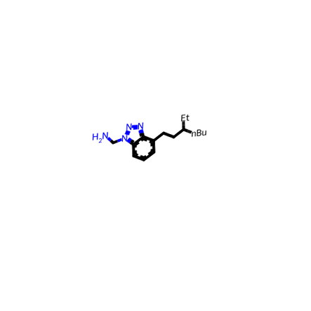 CCCCC(CC)CCc1cccc2c1nnn2CN